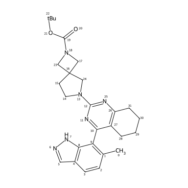 Cc1ccc2cn[nH]c2c1-c1nc(N2CCC3(CN(C(=O)OC(C)(C)C)C3)C2)nc2c1CCCC2